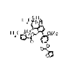 COc1cc(OC(=O)c2ccco2)ccc1-c1ccc2c(c1COC(=O)c1ccc(C)s1)C(C)=CC(C)(C)N2